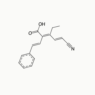 CCC(C=CC#N)=C(C=Cc1ccccc1)C(=O)O